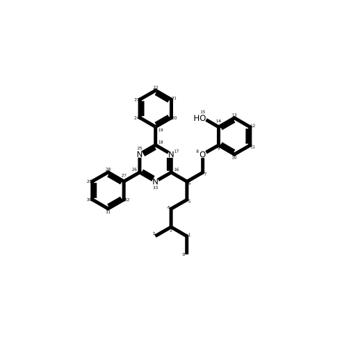 CCC(C)CCC(COc1ccccc1O)c1nc(-c2ccccc2)nc(-c2ccccc2)n1